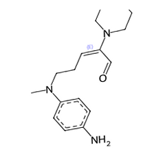 CN(CC/C=C(\C=O)N1CCOCC1)c1ccc(N)cc1